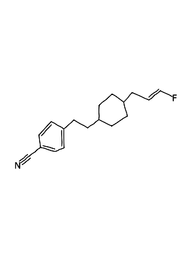 N#Cc1ccc(CCC2CCC(CC=CF)CC2)cc1